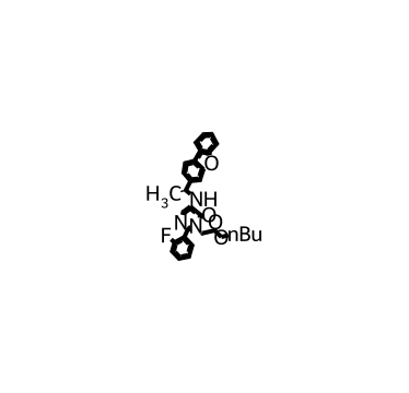 CCCCOC(=O)Cn1c(-c2ccccc2F)ncc(N[C@H](C)c2ccc3c(c2)oc2ccccc23)c1=O